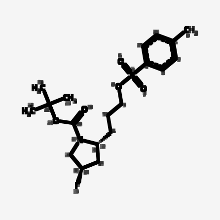 Cc1ccc(S(=O)(=O)OCCC[C@@H]2C[C@@H](F)CN2C(=O)OC(C)(C)C)cc1